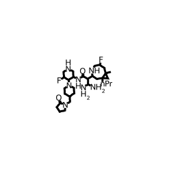 CCCC12CC(C(C(=O)NC3CNCC(F)C3N3CCC(CN4CCCC4=O)CC3)C(N)N)NCC(F)CC1(C)C2